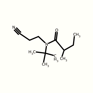 CCC(C)C(=O)N(CCC#N)C(C)(C)C